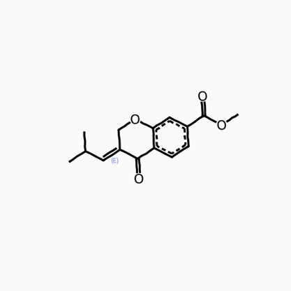 COC(=O)c1ccc2c(c1)OC/C(=C\C(C)C)C2=O